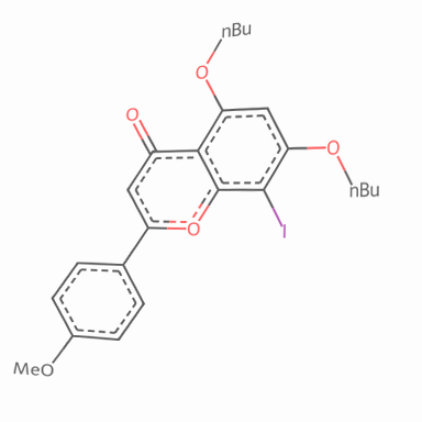 CCCCOc1cc(OCCCC)c2c(=O)cc(-c3ccc(OC)cc3)oc2c1I